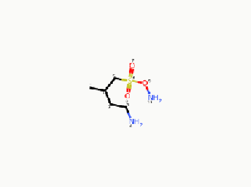 CC(CCN)CS(=O)(=O)ON